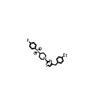 CCc1ccc(Cc2csc(N3CCC(S(=O)(=O)c4ccc(F)cc4)CC3)n2)cc1